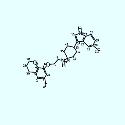 Fc1cc2c(c(OCCNC3CCC(c4c[nH]c5ccc(F)cc45)CC3)c1)OCCC2